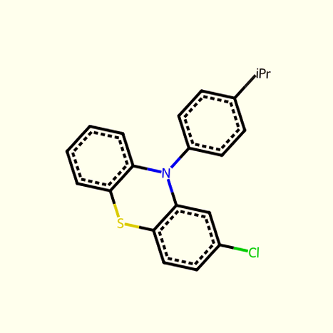 CC(C)c1ccc(N2c3ccccc3Sc3ccc(Cl)cc32)cc1